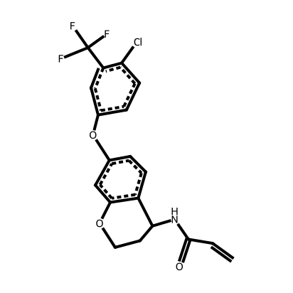 C=CC(=O)NC1CCOc2cc(Oc3ccc(Cl)c(C(F)(F)F)c3)ccc21